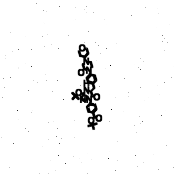 CC(C)(C)OC(=O)N[C@@H](Cc1ccc(N2CCN(C3CCOCC3)CC2=O)cc1)C(=O)Nc1ccc(C(=O)OC(C)(C)C)cc1